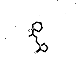 CC(CCN1CCCC1=O)[N+]1([O-])CCCCC1